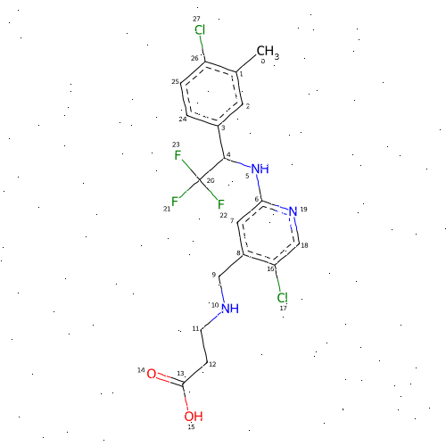 Cc1cc(C(Nc2cc(CNCCC(=O)O)c(Cl)cn2)C(F)(F)F)ccc1Cl